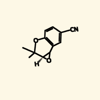 CC1(C)Oc2ccc(C#N)cc2C2O[C@H]21